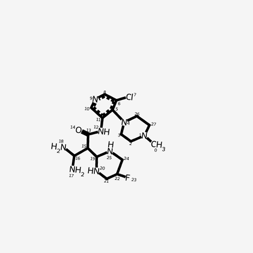 CN1CCN(c2c(Cl)cncc2NC(=O)C(C(N)N)C2NCC(F)CN2)CC1